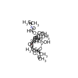 CCn1c(-c2ccccc2CCOC)c2c3cc(ccc31)-c1cc(O)cc(c1)C[C@H](NC(=O)C(C(C)C)N(C)C(=O)c1ccc(NC(=O)/C=C/CN(C)C)cc1)C(=O)N1CCC[C@H](N1)C(=O)OCC(C)(C)C2